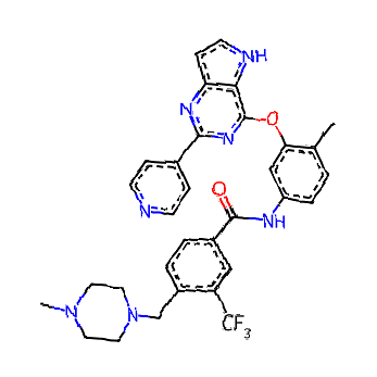 Cc1ccc(NC(=O)c2ccc(CN3CCN(C)CC3)c(C(F)(F)F)c2)cc1Oc1nc(-c2ccncc2)nc2cc[nH]c12